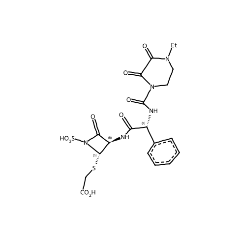 CCN1CCN(C(=O)N[C@@H](C(=O)N[C@@H]2C(=O)N(S(=O)(=O)O)[C@H]2SCC(=O)O)c2ccccc2)C(=O)C1=O